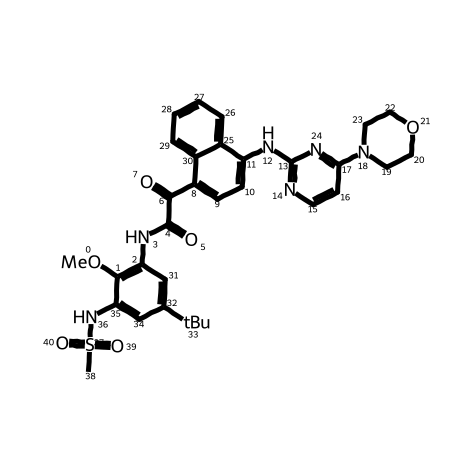 COc1c(NC(=O)C(=O)c2ccc(Nc3nccc(N4CCOCC4)n3)c3ccccc23)cc(C(C)(C)C)cc1NS(C)(=O)=O